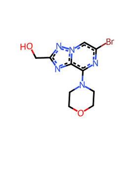 OCc1nc2c(N3CCOCC3)nc(Br)cn2n1